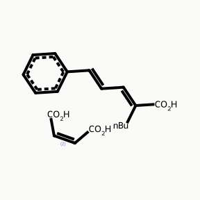 CCCCC(=CC=Cc1ccccc1)C(=O)O.O=C(O)/C=C\C(=O)O